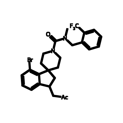 CC(=O)CC1CC2(CCN(C(=O)N(C)Cc3ccccc3C(F)(F)F)CC2)c2c(Br)cccc21